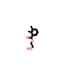 Cc1cccc(C(=O)OCCO)c1C